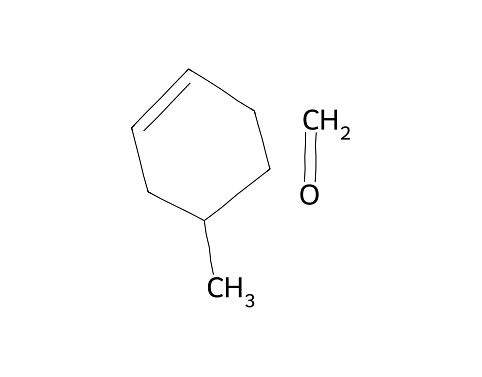 C=O.CC1CC=CCC1